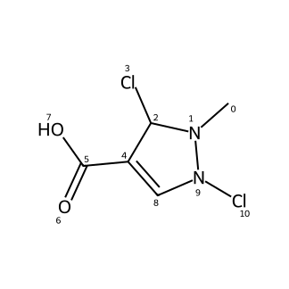 CN1C(Cl)C(C(=O)O)=CN1Cl